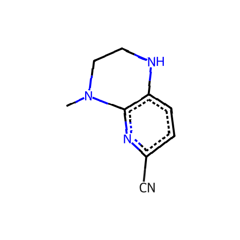 CN1CCNc2ccc(C#N)nc21